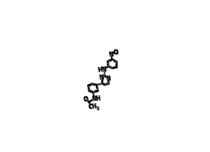 CC(=O)Nc1cccc(-c2ccnc(Nc3cccc(N=O)c3)n2)c1